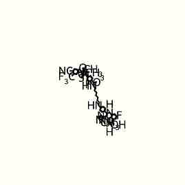 Cn1ncnc1C1C2=NNC(O)c3cc(F)cc(c32)NC1c1ccc(NCCCCCCCNC(=O)c2ccc(N3C(=S)N(c4ccc(C#N)c(C(F)(F)F)c4)C(=O)C3(C)C)cc2F)cc1